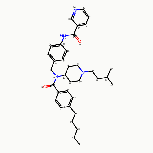 CCCCCc1ccc(C(=O)N(Cc2ccc(NC(=O)c3cccnc3)cc2)C2CCN(CCC(C)C)CC2)cc1